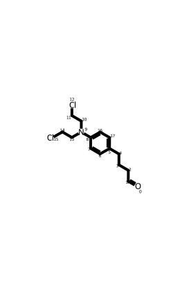 O=[C]CCCc1ccc(N(CCCl)CCCl)cc1